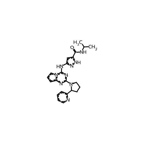 CC(C)NC(=O)c1cc(Nc2nc(N3CCCC3c3ccccn3)nc3cccn23)n[nH]1